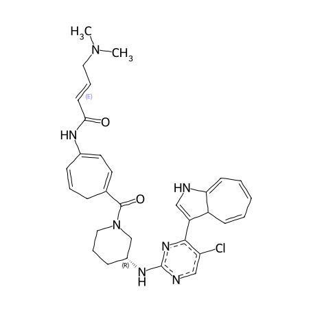 CN(C)C/C=C/C(=O)NC1=CC=C(C(=O)N2CCC[C@@H](Nc3ncc(Cl)c(C4=CNC5=CC=CC=CC54)n3)C2)CC=C1